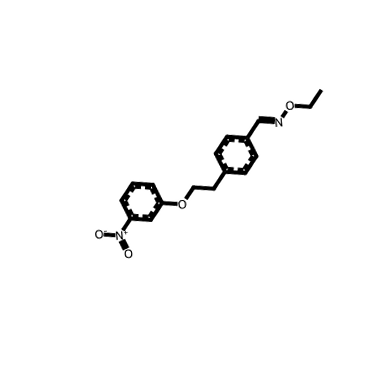 CCON=Cc1ccc(CCOc2cccc([N+](=O)[O-])c2)cc1